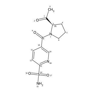 CC(=O)[C@H]1CCCN1C(=O)c1ccc(S(N)(=O)=O)nc1